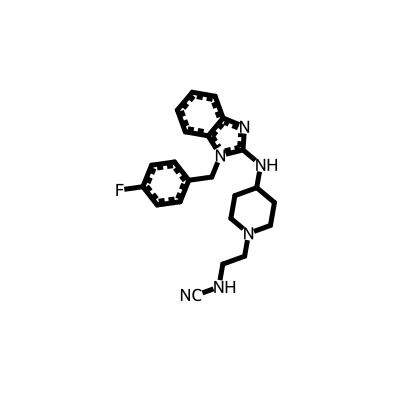 N#CNCCN1CCC(Nc2nc3ccccc3n2Cc2ccc(F)cc2)CC1